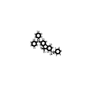 CN(c1ccccc1)c1ccc2c(c1)C(C)(C)c1cc(N(c3ccccc3)c3ccccc3)ccc1-2